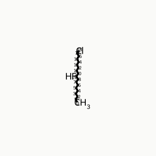 CCCCCCCCCCCCCCCCCCCl.F